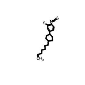 C=CCCCCCC1CCC(c2ccc(N=C=S)c(F)c2)CC1